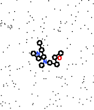 c1ccc(-c2ccc(-c3ccc(N(c4ccccc4)c4ccc(-c5ccccc5-c5cccc6c5oc5ccccc56)cc4)cc3)c(-n3c4ccccc4c4ccccc43)c2)cc1